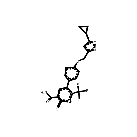 NC(=O)c1cc(-c2ccc(OCc3cc(C4CC4)on3)cc2)c(C(F)(F)F)[nH]c1=O